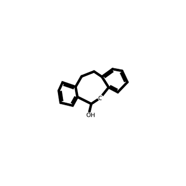 OC1Cc2ccccc2CCc2ccccc21